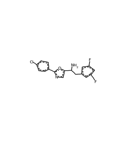 NC(Cc1cc(F)cc(F)c1)c1cnc(-c2ccc(Cl)cc2)o1